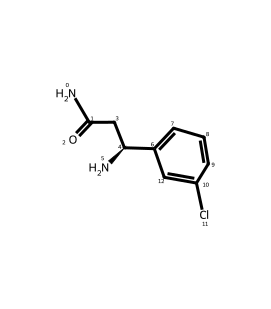 NC(=O)C[C@H](N)c1cccc(Cl)c1